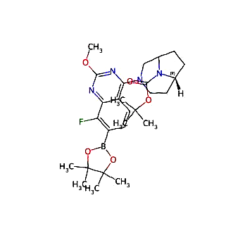 COc1nc(N2CC[C@H]3CCC(C2)N3C(=O)OC(C)(C)C)c2ccc(B3OC(C)(C)C(C)(C)O3)c(F)c2n1